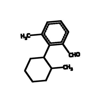 Cc1cccc(C=O)c1C1CCCCC1C